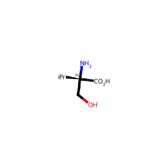 CC(C)[C@](N)(CO)C(=O)O